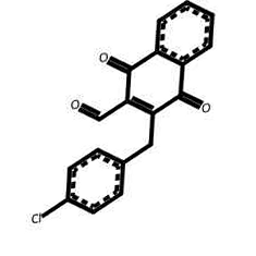 O=CC1=C(Cc2ccc(Cl)cc2)C(=O)c2ccccc2C1=O